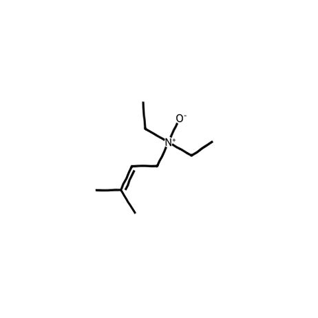 CC[N+]([O-])(CC)CC=C(C)C